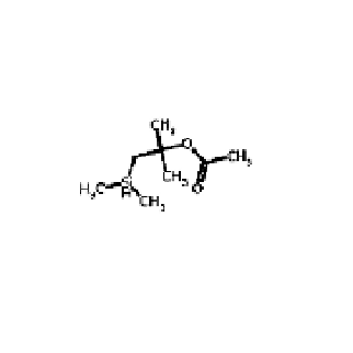 CC(=O)OC(C)(C)C[SiH](C)C